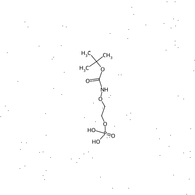 CC(C)(C)OC(=O)NOCCOP(=O)(O)O